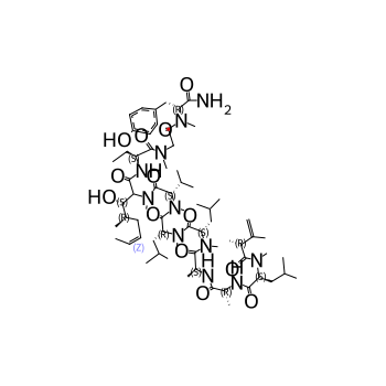 C=C(C)[C@@H](C)C(=O)N(C)[C@@H](CC(C)C)C(=O)N[C@H](C)C(=O)N[C@@H](C)C(=O)N(C)[C@@H](CC(C)C)C(=O)N(C)[C@H](CC(C)C)C(=O)N(C)[C@H](C(=O)N(C)C(C(=O)N[C@@H](CC)C(=O)N(C)CC(=O)N(C)[C@H](Cc1ccc(O)cc1)C(N)=O)[C@@H](O)[C@H](C)C/C=C\C)C(C)C